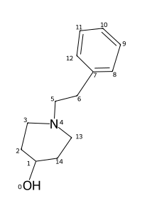 OC1CCN(CCc2ccccc2)CC1